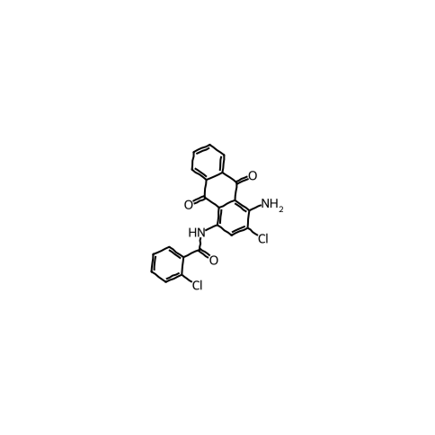 Nc1c(Cl)cc(NC(=O)c2ccccc2Cl)c2c1C(=O)c1ccccc1C2=O